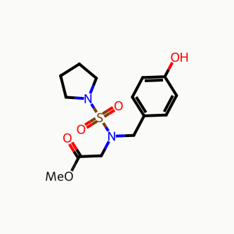 COC(=O)CN(Cc1ccc(O)cc1)S(=O)(=O)N1CCCC1